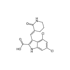 O=C1NCCCC1=Cc1c(C(=O)O)[nH]c2cc(Cl)cc(Cl)c12